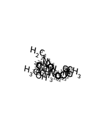 C=CCN1Cc2cnc(Nc3ccc4c(c3)CN(S(C)(=O)=O)CC4)nc2N1c1cccc(C(C)(C)O)n1